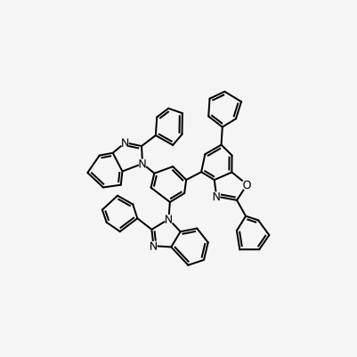 c1ccc(-c2cc(-c3cc(-n4c(-c5ccccc5)nc5ccccc54)cc(-n4c(-c5ccccc5)nc5ccccc54)c3)c3nc(-c4ccccc4)oc3c2)cc1